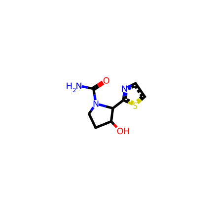 NC(=O)N1CCC(O)C1c1nccs1